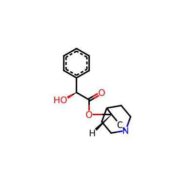 O=C(O[C@H]1CN2CCC1CC2)[C@@H](O)c1ccccc1